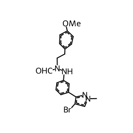 COc1ccc(CCN(C=O)Nc2cccc(-c3nn(C)cc3Br)c2)cc1